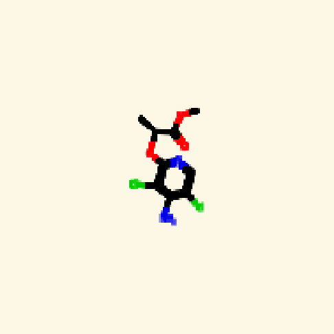 COC(=O)[C@H](C)Oc1ncc(Cl)c(N)c1Cl